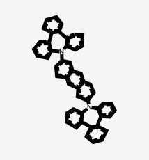 c1ccc2c(c1)-c1ccccc1N(c1ccc3cc4cc(N5c6ccccc6-c6ccccc6-c6ccccc65)ccc4cc3c1)c1ccccc1-2